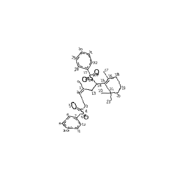 CC(=CCS(=O)(=O)c1ccccc1)CC(C1=C(C)CCCC1(C)C)S(=O)(=O)c1ccccc1